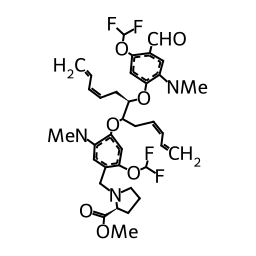 C=C/C=C\CC(Oc1cc(OC(F)F)c(CN2CCC[C@H]2C(=O)OC)cc1NC)[C@@H](C/C=C\C=C)Oc1cc(OC(F)F)c(C=O)cc1NC